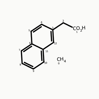 C.O=C(O)Cc1ccc2ccccc2c1